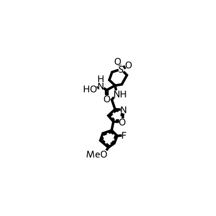 COc1ccc(-c2cc(CNC3(C(=O)NO)CCS(=O)(=O)CC3)no2)c(F)c1